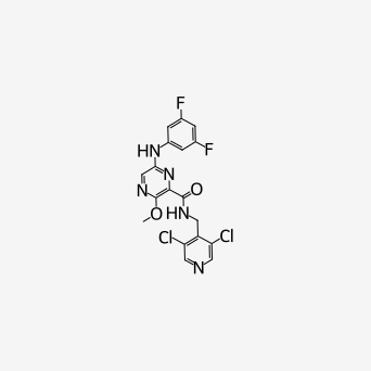 COc1ncc(Nc2cc(F)cc(F)c2)nc1C(=O)NCc1c(Cl)cncc1Cl